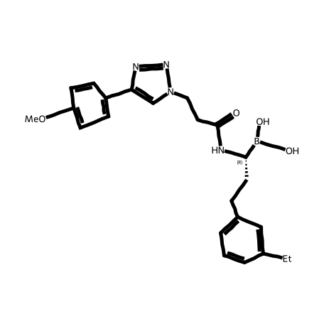 CCc1cccc(CC[C@H](NC(=O)CCn2cc(-c3ccc(OC)cc3)nn2)B(O)O)c1